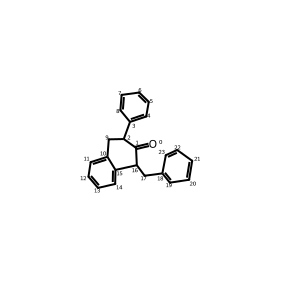 O=C1C(c2ccccc2)Cc2ccccc2C1Cc1ccccc1